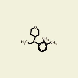 CCN(c1cccc(C)c1C)C1CCOCC1